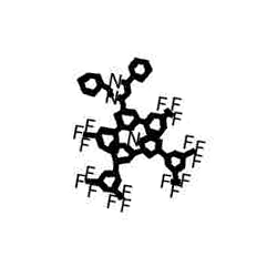 FC(F)(F)c1cccc(-c2cc(-c3cc(-c4ccccc4)nc(-c4ccccc4)n3)cc(-c3cccc(C(F)(F)F)c3)c2-n2c3ccc(-c4cc(C(F)(F)F)cc(C(F)(F)F)c4)cc3c3cc(-c4cc(C(F)(F)F)cc(C(F)(F)F)c4)ccc32)c1